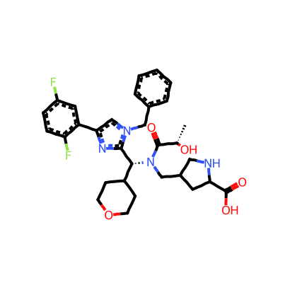 C[C@H](O)C(=O)N(CC1CNC(C(=O)O)C1)[C@@H](c1nc(-c2cc(F)ccc2F)cn1Cc1ccccc1)C1CCOCC1